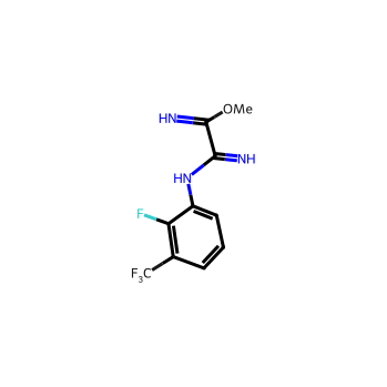 COC(=N)C(=N)Nc1cccc(C(F)(F)F)c1F